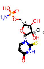 C[C@@]1(O)[C@H](O)[C@@H](COP(N)(=O)O)O[C@H]1n1ccc(=O)[nH]c1=S